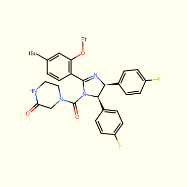 CCOc1cc(C(C)(C)C)ccc1C1=N[C@@H](c2ccc(F)cc2)[C@@H](c2ccc(F)cc2)N1C(=O)N1CCNC(=O)C1